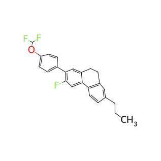 CCCc1ccc2c(c1)CCc1cc(-c3ccc(OC(F)F)cc3)c(F)cc1-2